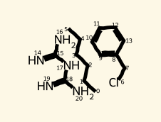 CCCCCC.ClCc1ccccc1.N=C(N)NC(=N)N